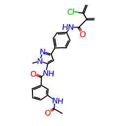 C=C(Cl)C(=C)C(=O)Nc1ccc(-c2cc(NC(=O)c3cccc(NC(C)=O)c3)n(C)n2)cc1